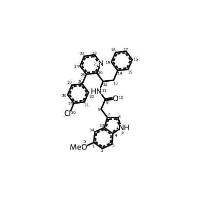 COc1ccc2[nH]cc(CC(=O)NC(Cc3ccccc3)c3ncccc3-c3ccc(Cl)cc3)c2c1